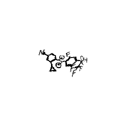 C[C@](O)(c1ccc(S(=O)(=O)c2ccc(C#N)cc2C2CC2)c(F)c1)C(F)(F)F